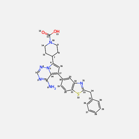 Nc1ncnn2c(C3CCN(C(=O)O)CC3)cc(-c3ccc4sc(Cc5ccccc5)nc4c3)c12